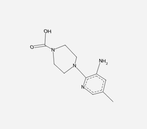 Cc1cnc(N2CCN(C(=O)O)CC2)c(N)c1